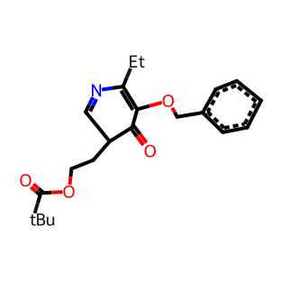 CCC1=C(OCc2ccccc2)C(=O)C(CCOC(=O)C(C)(C)C)C=N1